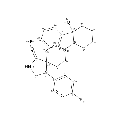 O=C1NCN(c2ccc(F)cc2)C12CCN(C1CCCCC1(O)c1ccc(F)cc1)CC2